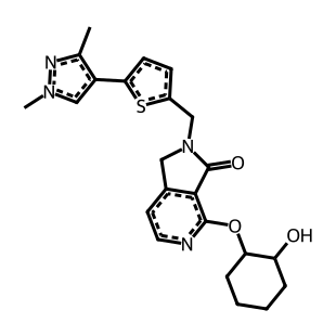 Cc1nn(C)cc1-c1ccc(CN2Cc3ccnc(OC4CCCCC4O)c3C2=O)s1